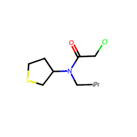 CC(C)CN(C(=O)CCl)C1CCSC1